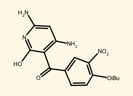 CC(C)COc1ccc(C(=O)c2c(N)cc(N)nc2O)cc1[N+](=O)[O-]